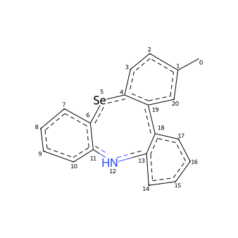 Cc1ccc2[se]c3ccccc3[nH]c3ccccc3c2c1